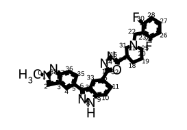 Cn1cc2cc(-c3n[nH]c4ccc(-c5nnc(C6CCCN(Cc7c(F)cccc7F)C6)o5)cc34)ccc2n1